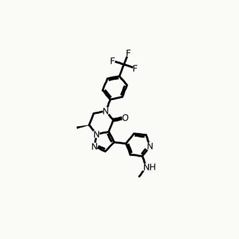 CNc1cc(-c2cnn3c2C(=O)N(c2ccc(C(F)(F)F)cc2)C[C@@H]3C)ccn1